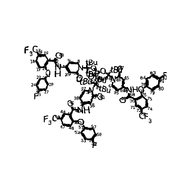 CC(C)(C)C(OP(=O)(OC(n1ccc(NC(=O)c2cc(C(F)(F)F)ccc2Oc2ccc(F)cc2)cc1=O)(C(C)(C)C)C(C)(C)C)OC(n1ccc(NC(=O)c2cc(C(F)(F)F)ccc2Oc2ccc(F)cc2)cc1=O)(C(C)(C)C)C(C)(C)C)(n1ccc(NC(=O)c2cc(C(F)(F)F)ccc2Oc2ccc(F)cc2)cc1=O)C(C)(C)C